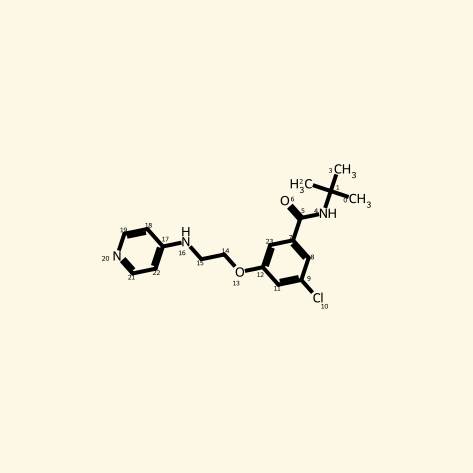 CC(C)(C)NC(=O)c1cc(Cl)cc(OCCNc2ccncc2)c1